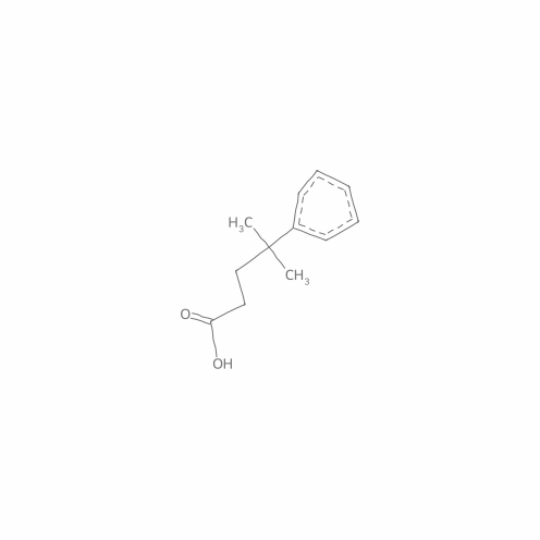 CC(C)(CCC(=O)O)c1ccccc1